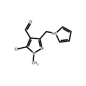 Cn1nc(C[SH]2C=CC=C2)c(C=O)c1Cl